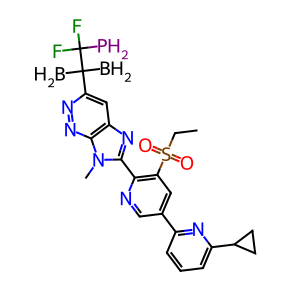 BC(B)(c1cc2nc(-c3ncc(-c4cccc(C5CC5)n4)cc3S(=O)(=O)CC)n(C)c2nn1)C(F)(F)P